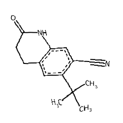 CC(C)(C)c1cc2c(cc1C#N)NC(=O)CC2